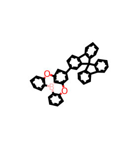 c1ccc2c(c1)Oc1cc(-c3ccc4c(c3)C3(c5ccccc5-c5ccccc53)c3ccccc3-4)cc3c1B2c1ccccc1O3